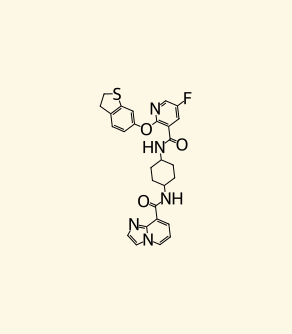 O=C(NC1CCC(NC(=O)c2cccn3ccnc23)CC1)c1cc(F)cnc1Oc1ccc2c(c1)SCC2